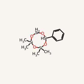 C[Si]1(C)O[SiH2]O[SiH](c2ccccc2)O[Si](C)(C)O1